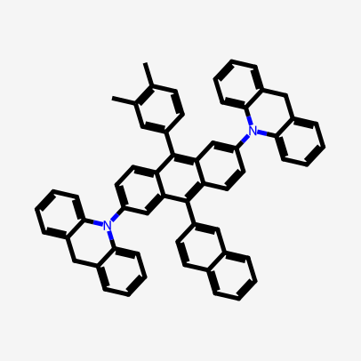 Cc1ccc(-c2c3ccc(N4c5ccccc5Cc5ccccc54)cc3c(-c3ccc4ccccc4c3)c3ccc(N4c5ccccc5Cc5ccccc54)cc23)cc1C